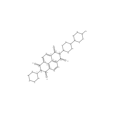 CC1CCC(C2CCC(N3C(=O)c4ccc5c6c(ccc(c46)C3=O)C(=O)N(C3CCCCC3)C5=O)CC2)CC1